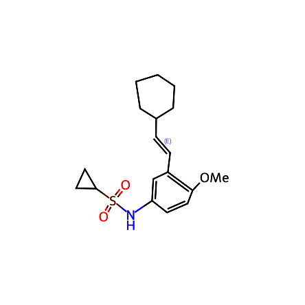 COc1ccc(NS(=O)(=O)C2CC2)cc1/C=C/C1CCCCC1